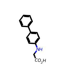 O=C(O)CNc1ccc(-c2ccccc2)cc1